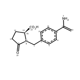 C=C(N)c1ccc(CN2C(=O)CC[C@H]2C(=O)O)cc1